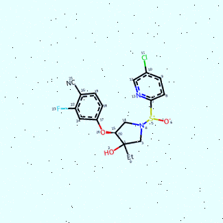 CCC1(O)CN([S+]([O-])c2ccc(Cl)cn2)C[C@@H]1Oc1ccc(C#N)c(F)c1